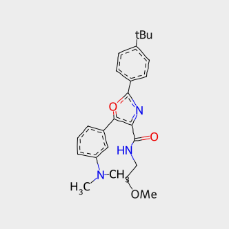 COCCNC(=O)c1nc(-c2ccc(C(C)(C)C)cc2)oc1-c1cccc(N(C)C)c1